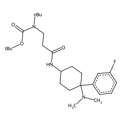 CCCCN(CCC(=O)NC1CCC(c2cccc(F)c2)(N(C)C)CC1)C(=O)OC(C)(C)C